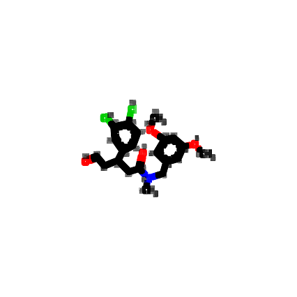 COc1cc(CN(C)C(=O)CC(CC=O)c2ccc(Cl)c(Cl)c2)cc(OC)c1